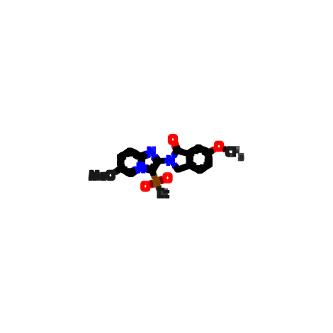 CCS(=O)(=O)c1c(N2Cc3ccc(OC(F)(F)F)cc3C2=O)nc2ccc(OC)cn12